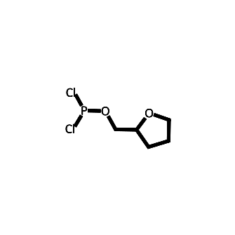 ClP(Cl)OCC1CCCO1